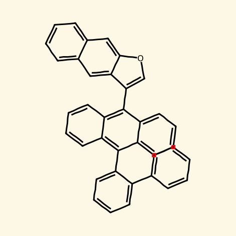 c1ccc(-c2ccccc2-c2c3ccccc3c(-c3coc4cc5ccccc5cc34)c3ccccc23)cc1